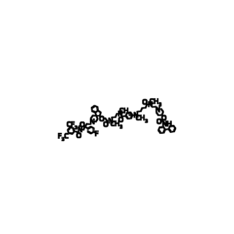 CN(CCN1CCC(OC(=O)Nc2ccccc2-c2ccccc2)CC1)C(=O)CCCCN(C)c1ccc(C(=O)N(C)CCCN(C)C(=O)COC2Cc3ccccc3C23CCN(CC[C@@]2(c4ccc(F)cc4)CN(C(=O)c4cc(C(F)(F)F)cc(C(F)(F)F)c4)CO2)CC3)cc1